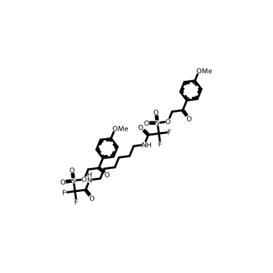 COc1ccc(C(=O)COS(=O)(=O)C(F)(F)C(=O)NCCCCCCNC(=O)C(F)(F)S(=O)(=O)OCC(=O)c2ccc(OC)cc2)cc1